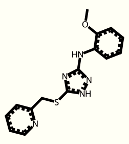 COc1ccccc1Nc1n[nH]c(SCc2ccccn2)n1